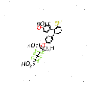 CCCCCCCCOc1ccc(-c2cccc(S)c2-c2ccc(OCCCCCCCC)cc2)cc1.O=S(=O)(O)C(F)(F)C(F)(F)C(F)(F)S(=O)(=O)O